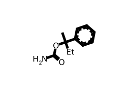 CCC(C)(OC(N)=O)c1ccccc1